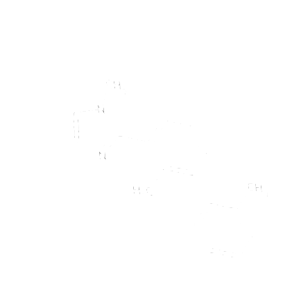 Cc1ccccc1-c1cccc(-c2nccn2C)c1C